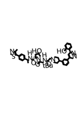 Cc1ncsc1-c1ccc(C(C)NC(=O)[C@@H]2C[C@@H](O)CN2C(=O)C(NC(=O)CN2CCC(c3cccc(-c4cnnc(-c5ccccc5O)c4)c3)CC2)C(C)(C)C)cc1